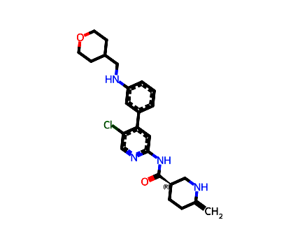 C=C1CC[C@@H](C(=O)Nc2cc(-c3cccc(NCC4CCOCC4)c3)c(Cl)cn2)CN1